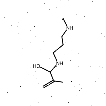 C=C(C)C(O)NCCCNC